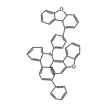 C1=CC2Oc3ccccc3C2C(c2ccc(N(c3ccccc3-c3ccc(-c4ccccc4)cc3)c3cccc4oc5ccccc5c34)cc2)=C1